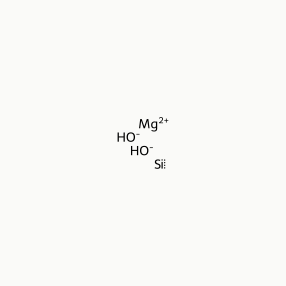 [Mg+2].[OH-].[OH-].[Si]